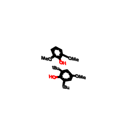 COc1cc(C(C)(C)C)c(O)c(C(C)(C)C)c1.COc1cccc(OC)c1O